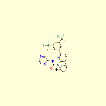 O=C(Nc1cnccn1)N1c2nc(-c3cc(C(F)(F)F)cc(C(F)(F)F)c3)ccc2C2CC[C@H]1C2